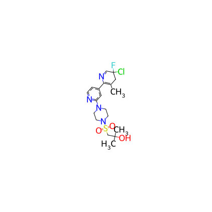 CC1=C(c2ccnc(N3CCN(S(=O)(=O)CC(C)(C)O)CC3)c2)N=CC(F)(Cl)C1